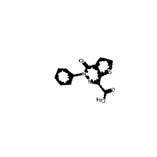 O=C(O)c1nn(-c2ccccc2)c(=O)c2ccsc12